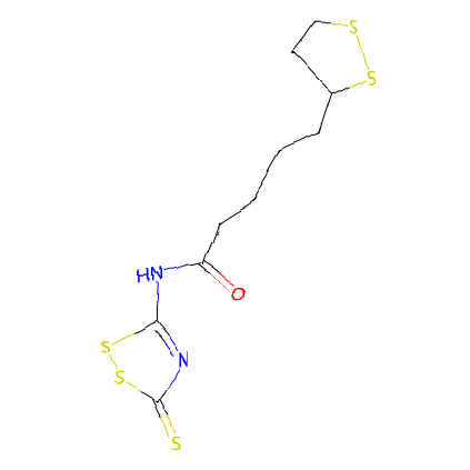 O=C(CCCCC1CCSS1)Nc1nc(=S)ss1